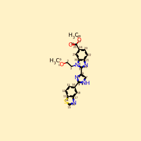 COCCn1c(-c2c[nH]c(-c3ccc4scnc4c3)n2)nc2ccc(C(=O)OC)cc21